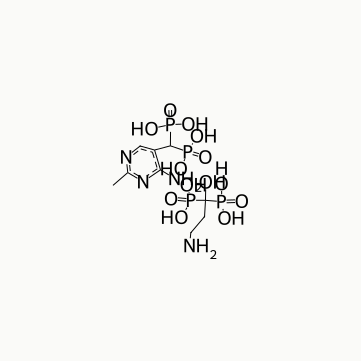 Cc1ncc(C(P(=O)(O)O)P(=O)(O)O)c(N)n1.NCCC(O)(P(=O)(O)O)P(=O)(O)O